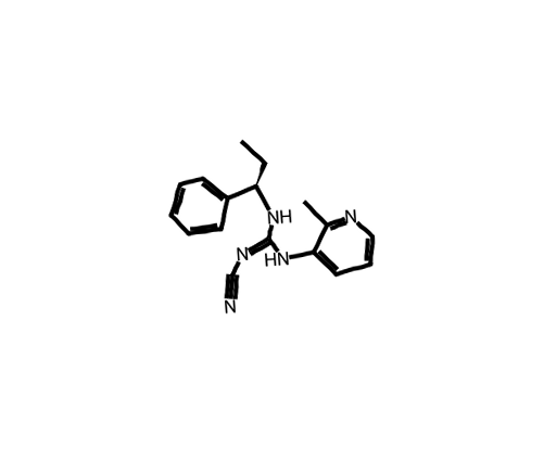 CC[C@@H](N/C(=N/C#N)Nc1cccnc1C)c1ccccc1